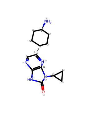 N[C@H]1CC[C@H](c2cnc3[nH]c(=O)n(C4CC4)c3n2)CC1